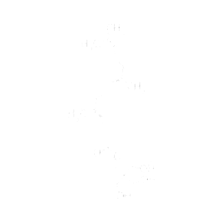 CC(C)=CCCC(C)=CCCC(C)=CCCC(=O)OCC(CO)(CO)CO